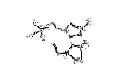 C=Cn1cc[n+](CC)c1.C=Cn1cc[n+](CC)c1.O=S(=O)([O-])[O-]